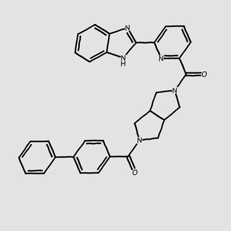 O=C(c1ccc(-c2ccccc2)cc1)N1CC2CN(C(=O)c3cccc(-c4nc5ccccc5[nH]4)n3)CC2C1